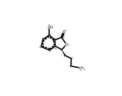 CCCC[C@@H]1OC(=O)c2c(O)cccc21